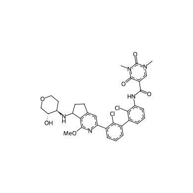 COc1nc(-c2cccc(-c3cccc(NC(=O)c4cn(C)c(=O)n(C)c4=O)c3Cl)c2Cl)cc2c1C(N[C@@H]1CCOC[C@H]1O)CC2